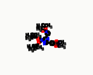 CN(C)S(=O)(=O)c1ccc(-c2cnn3c(N(COCC[Si](C)(C)C)COCC[Si](C)(C)C)cc(C4CCCN(C(=O)OC(C)(C)C)C4)nc23)cc1